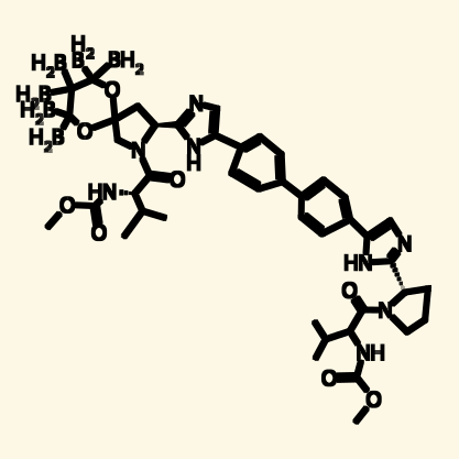 BC1(B)OC2(C[C@@H](c3ncc(-c4ccc(-c5ccc(-c6cnc([C@@H]7CCCN7C(=O)C(NC(=O)OC)C(C)C)[nH]6)cc5)cc4)[nH]3)N(C(=O)[C@@H](NC(=O)OC)C(C)C)C2)OC(B)(B)C1(B)B